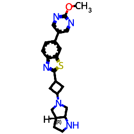 COc1ncc(-c2ccc3nc(C4CC(N5CC6NCC[C@@H]6C5)C4)sc3c2)cn1